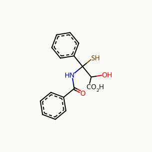 O=C(NC(S)(c1ccccc1)C(O)C(=O)O)c1ccccc1